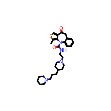 Cc1scc2c1N(C(=O)NCCN1CCC(CCCN3CCCCC3)CC1)c1ccccc1CC2=O